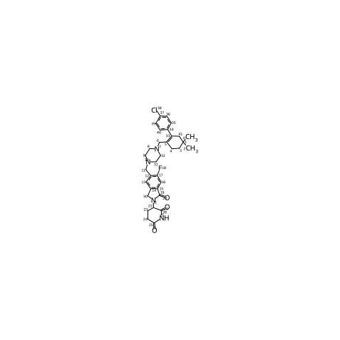 CC1(C)CCC(CN2CCN(Cc3cc4c(cc3F)C(=O)N(C3CCC(=O)NC3=O)C4)CC2)=C(c2ccc(Cl)cc2)C1